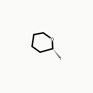 I[C@@H]1CCCCO1